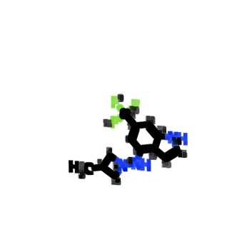 CC1CN(Nc2cc(C(F)(F)F)cc3[nH]ccc23)C1